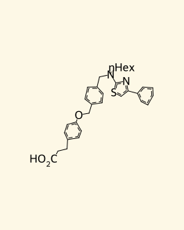 CCCCCCN(Cc1ccc(COc2ccc(CCC(=O)O)cc2)cc1)c1nc(-c2ccccc2)cs1